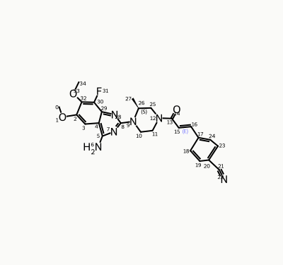 COc1cc2c(N)nc(N3CCN(C(=O)/C=C/c4ccc(C#N)cc4)C[C@@H]3C)nc2c(F)c1OC